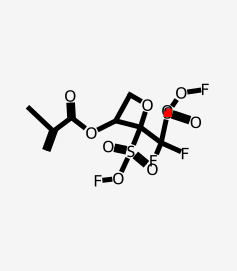 C=C(C)C(=O)OC1COC1(C(F)(F)S(=O)(=O)OF)S(=O)(=O)OF